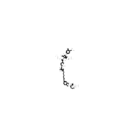 CC1(C)[C@H](NC(=O)c2ccc(-n3cc(CCCCCOc4ccc5c(c4)CN(C4CCC(=O)NC4=O)C5=O)nn3)nc2)C(C)(C)[C@H]1Oc1ccc(C#N)c(Cl)c1